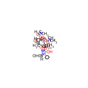 CC1=C2[C@@H](OC(=O)N(C)C)C(=O)[C@]3(C)[C@@H](OC(=O)N(C)C)C[C@H]4OC[C@@]4(C)[C@H]3[C@H](C)[C@](O)(C[C@@H]1OC(=O)[C@H](O)[C@@H](NBC=O)c1ccccc1)C2(C)C